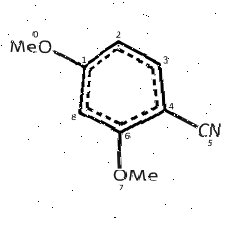 COc1[c]cc(C#N)c(OC)c1